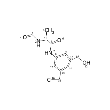 CC(NC=O)C(=O)Nc1cc(CO)cc(CCl)c1